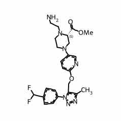 COC(=O)[C@@H]1CN(c2ccc(OCc3c(C)nnn3-c3ccc(C(F)F)cc3)nc2)CCN1CCN